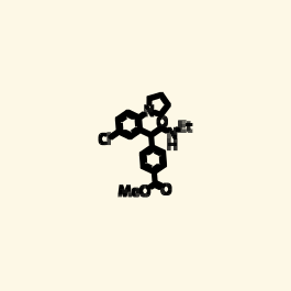 CCNC(=O)C(c1ccc(C(=O)OC)cc1)c1cc(Cl)ccc1N1CCCC1